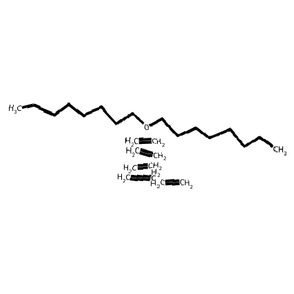 C=C.C=C.C=C.C=C.C=C.CCCCCCCCOCCCCCCCC